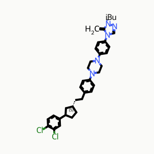 C=C1N(c2ccc(N3CCN(c4ccc(CC[C@@H]5CCC(c6ccc(Cl)c(Cl)c6)C5)cc4)CC3)cc2)C=NN1C(C)CC